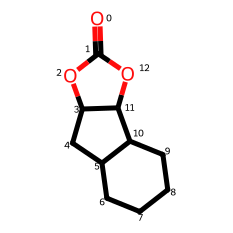 O=C1OC2CC3CCCCC3C2O1